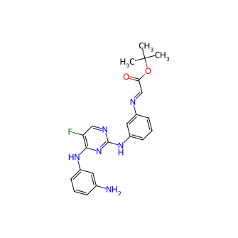 CC(C)(C)OC(=O)/C=N/c1cccc(Nc2ncc(F)c(Nc3cccc(N)c3)n2)c1